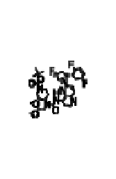 COC(CN(C(=O)Nc1ccnc2ccc(N3C[C@@H](F)C[C@@H]3c3cc(F)ccc3F)nc12)C1CCN(C(=O)OC(C)(C)C)CC1)OC